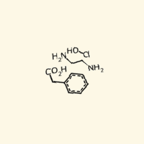 NCCN.O=C(O)Cc1ccccc1.OCl